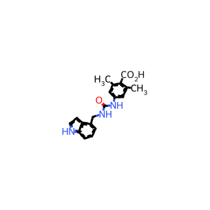 Cc1cc(NC(=O)NCc2cccc3[nH]ccc23)cc(C)c1C(=O)O